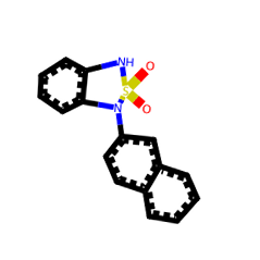 O=S1(=O)Nc2ccccc2N1c1ccc2ccccc2c1